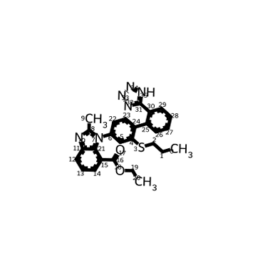 CCCSc1cc(-n2c(C)nc3cccc(C(=O)OCC)c32)ccc1-c1ccccc1-c1nnn[nH]1